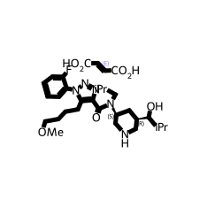 COCCCCc1c(C(=O)N(CC(C)C)[C@@H]2CNC[C@H](C(O)C(C)C)C2)nnn1-c1ccccc1F.O=C(O)/C=C/C(=O)O